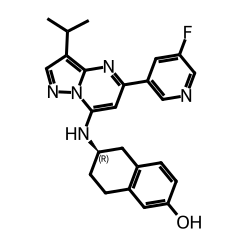 CC(C)c1cnn2c(N[C@@H]3CCc4cc(O)ccc4C3)cc(-c3cncc(F)c3)nc12